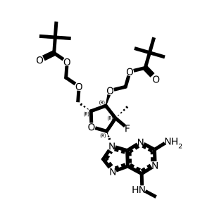 CNc1nc(N)nc2c1ncn2[C@@H]1O[C@H](COCOC(=O)C(C)(C)C)[C@@H](OCOC(=O)C(C)(C)C)[C@@]1(C)F